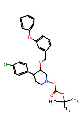 CC(C)(C)OC(=O)ON1CCC(c2ccc(Cl)cc2)C(OCc2cccc(Oc3ccccc3)c2)C1